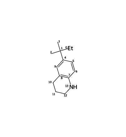 CCC(C)(C)c1ccc2c(c1)CCCN2